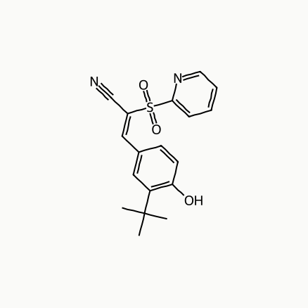 CC(C)(C)c1cc(C=C(C#N)S(=O)(=O)c2ccccn2)ccc1O